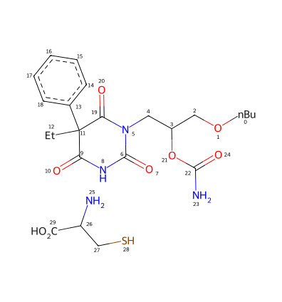 CCCCOCC(CN1C(=O)NC(=O)C(CC)(c2ccccc2)C1=O)OC(N)=O.NC(CS)C(=O)O